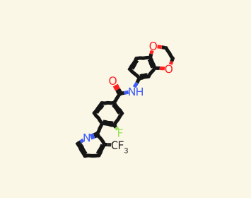 O=C(Nc1ccc2c(c1)OCCO2)c1ccc(-c2ncccc2C(F)(F)F)c(F)c1